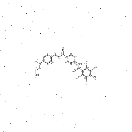 CN(CCO)c1ccc(/C=C/C(=O)c2ccc(NC(=O)c3c(F)c(F)c(Cl)c(F)c3F)cc2)cc1